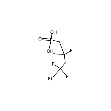 CCC(F)(F)CC(F)(F)CP(=O)(O)O